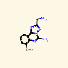 COc1cccc2c1nc(N)n1nc(CN)nc21